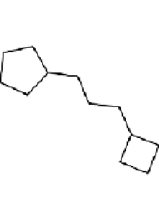 C1CCC(CCCC2CCC2)C1